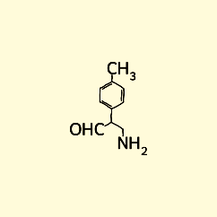 Cc1ccc(C(C=O)CN)cc1